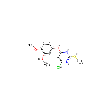 COc1ccc(Oc2cc(Cl)nc(SC)n2)cc1OC